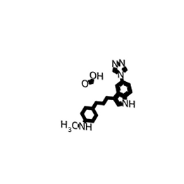 CNC1CCC(CCCc2c[nH]c3ccc(-n4cnnc4)cc23)CC1.O=CO